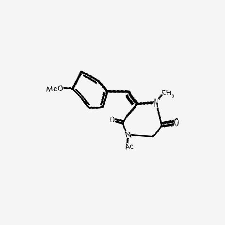 COc1ccc(C=C2C(=O)N(C(C)=O)CC(=O)N2C)cc1